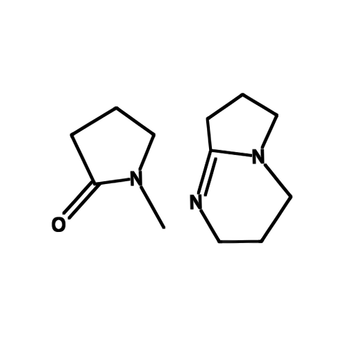 C1CN=C2CCCN2C1.CN1CCCC1=O